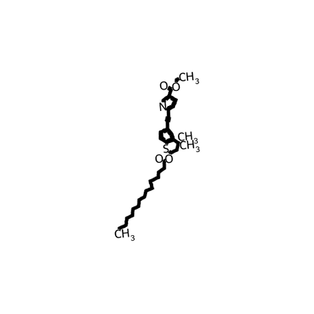 CCCCCCCCCCCCCCCC(=O)OC1CC(C)(C)c2cc(C#Cc3ccc(C(=O)OCC)cn3)ccc2S1